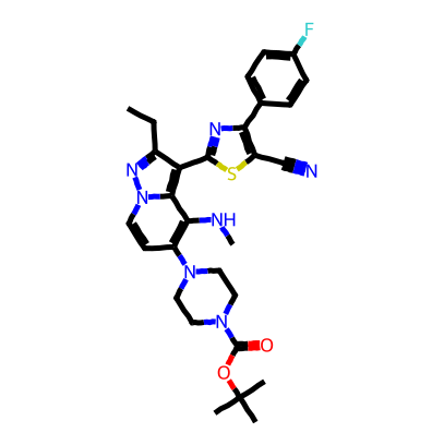 CCc1nn2ccc(N3CCN(C(=O)OC(C)(C)C)CC3)c(NC)c2c1-c1nc(-c2ccc(F)cc2)c(C#N)s1